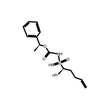 C=CCC[C@@H](CCC)S(=N)(=O)NC(=O)O[C@@H](C)c1ccccc1